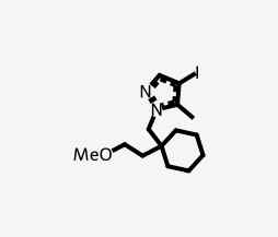 COCCC1(Cn2ncc(I)c2C)CCCCC1